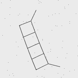 CC1CC2C1C1C3C(C)CC3C21